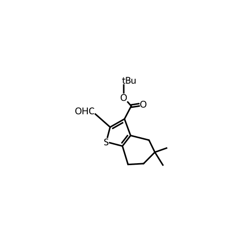 CC1(C)CCc2sc(C=O)c(C(=O)OC(C)(C)C)c2C1